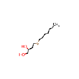 CCCCCCCSCCC(O)CO